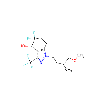 COCC(C)CCn1nc(C(F)(F)F)c2c1CCC(F)(F)[C@H]2O